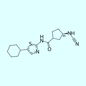 N#CN[C@@H]1CCC(C(=O)Nc2ncc(C3CCCCC3)s2)C1